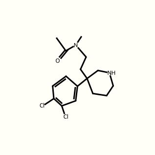 CC(=O)N(C)CCC1(c2ccc(Cl)c(Cl)c2)CCCNC1